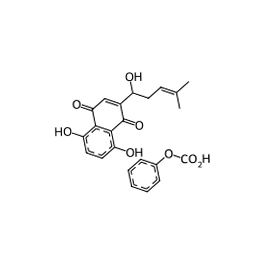 CC(C)=CCC(O)C1=CC(=O)c2c(O)ccc(O)c2C1=O.O=C(O)Oc1ccccc1